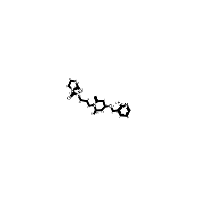 C=C1CC(OCc2cccnc2F)CC(C)N1CCCn1nc2n(c1=O)CCS2